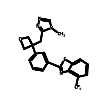 Cn1cnnc1CC1(c2cccc(-c3nc4c(C(F)(F)F)cccc4s3)c2)COC1